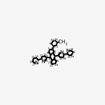 CC1C=C(c2ccc3c(-c4ccc(-c5ccccn5)nc4)c4ccccc4c(-c4ccc(-c5ccccn5)nc4)c3c2)C=CC1